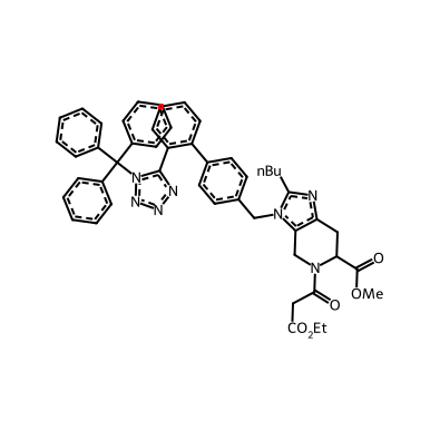 CCCCc1nc2c(n1Cc1ccc(-c3ccccc3-c3nnnn3C(c3ccccc3)(c3ccccc3)c3ccccc3)cc1)CN(C(=O)CC(=O)OCC)C(C(=O)OC)C2